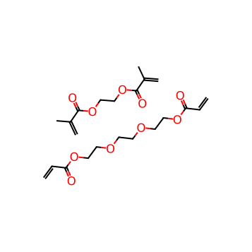 C=C(C)C(=O)OCCOC(=O)C(=C)C.C=CC(=O)OCCOCCOCCOC(=O)C=C